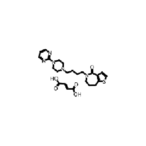 O=C(O)/C=C/C(=O)O.O=C1c2ccsc2CCCN1CCCCN1CCN(c2ncccn2)CC1